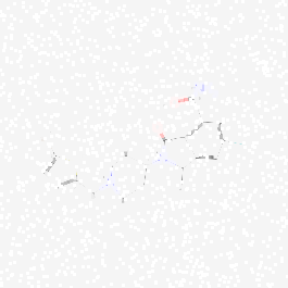 CC1c2cc(F)cc(C(N)=O)c2C(=O)N1C1CCN(Cc2ccc(Br)s2)CC1